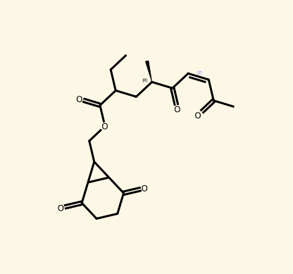 CCC(C[C@@H](C)C(=O)/C=C\C(C)=O)C(=O)OCC1C2C(=O)CCC(=O)C12